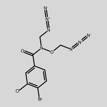 [N-]=[N+]=NCON(CN=[N+]=[N-])C(=O)c1ccc(Br)c(Cl)c1